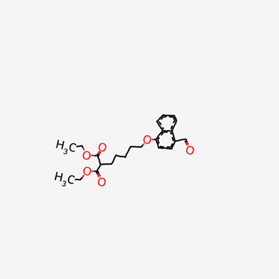 CCOC(=O)C(CCCCCOc1ccc(C=O)c2ccccc12)C(=O)OCC